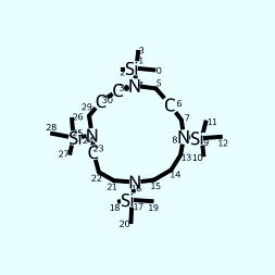 C[Si](C)(C)N1CCCN([Si](C)(C)C)CCCN([Si](C)(C)C)CCCN([Si](C)(C)C)CCC1